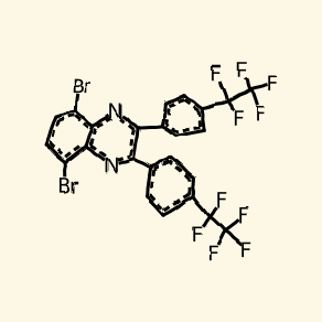 FC(F)(F)C(F)(F)c1ccc(-c2nc3c(Br)ccc(Br)c3nc2-c2ccc(C(F)(F)C(F)(F)F)cc2)cc1